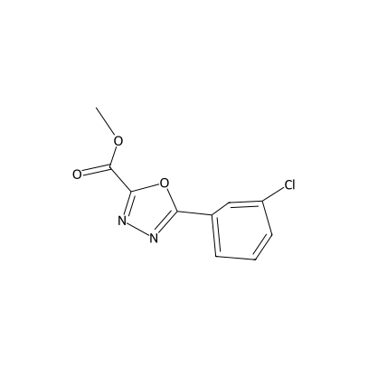 COC(=O)c1nnc(-c2cccc(Cl)c2)o1